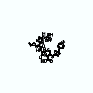 CCON=C(C(=O)N[C@@H]1C(=O)N2C(C(=O)O)=C(Sc3nc(-c4cc[n+](C)cc4)cs3)CS[C@H]12)c1nsc(NP(=O)(O)O)n1